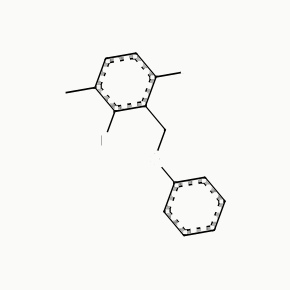 Cc1ccc(F)c(COc2c[c]ccc2)c1F